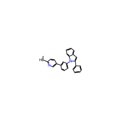 CBc1ccc(-c2cccc(-n3c(-c4ccccc4)cc4ccccc43)c2)cn1